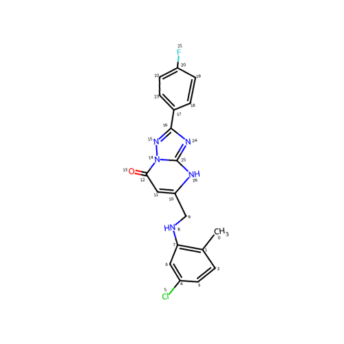 Cc1ccc(Cl)cc1NCc1cc(=O)n2nc(-c3ccc(F)cc3)nc2[nH]1